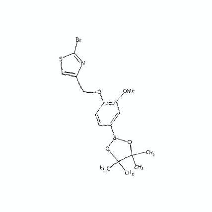 COc1cc(B2OC(C)(C)C(C)(C)O2)ccc1OCc1csc(Br)n1